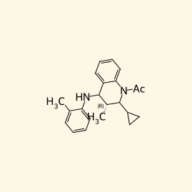 CC(=O)N1c2ccccc2C(Nc2ccccc2C)[C@@H](C)C1C1CC1